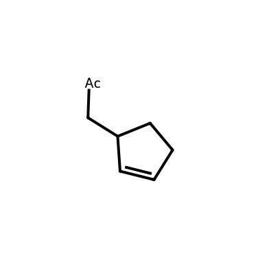 CC(=O)CC1C=CCC1